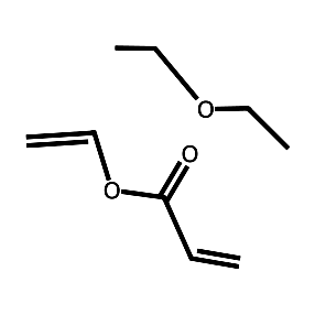 C=COC(=O)C=C.CCOCC